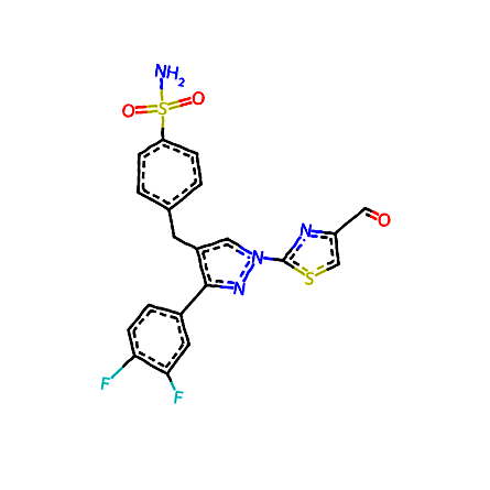 NS(=O)(=O)c1ccc(Cc2cn(-c3nc(C=O)cs3)nc2-c2ccc(F)c(F)c2)cc1